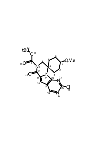 CO[C@H]1CC[C@]2(CC1)CN(C(=O)OC(C)(C)C)C(=O)c1cc3cnc(Cl)nc3n12